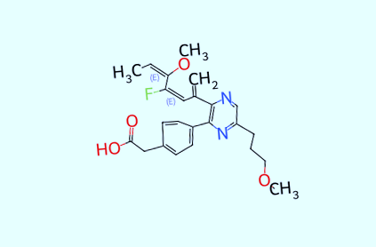 C=C(/C=C(F)\C(=C/C)OC)c1ncc(CCCOC)nc1-c1ccc(CC(=O)O)cc1